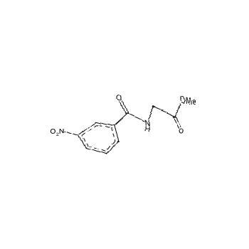 COC(=O)CNC(=O)c1cccc([N+](=O)[O-])c1